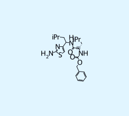 CC(C)CC(NC(=O)[C@H](CC(C)C)NC(=O)OCc1ccccc1)c1csc(N)n1